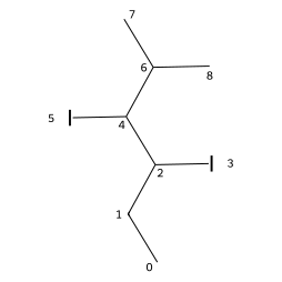 CCC(I)C(I)C(C)C